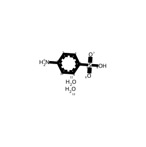 Nc1ccc(S(=O)(=O)O)cc1.O.O